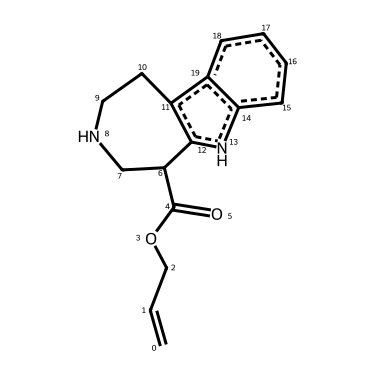 C=CCOC(=O)C1CNCCc2c1[nH]c1ccccc21